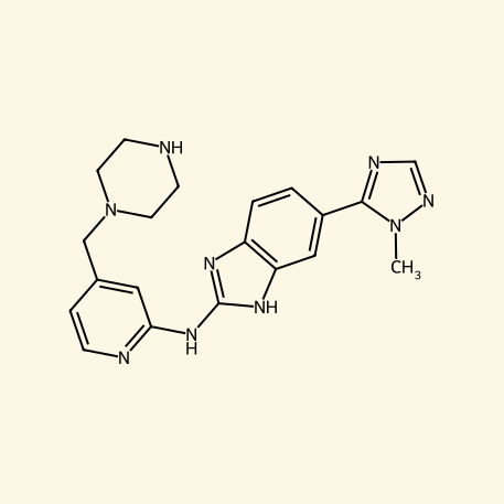 Cn1ncnc1-c1ccc2nc(Nc3cc(CN4CCNCC4)ccn3)[nH]c2c1